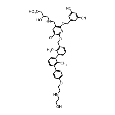 Cc1c(COc2nc(OCc3cc(C#N)cc(C#N)c3)c(CNC[C@@H](O)CC(=O)O)cc2Cl)cccc1-c1cccc(-c2ccc(OCCNCCO)cc2)c1C